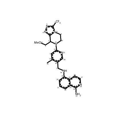 COCC1c2nnc(C(F)(F)F)n2CCN1c1cc(C)c(CNc2cccc3c(N)nccc23)cn1